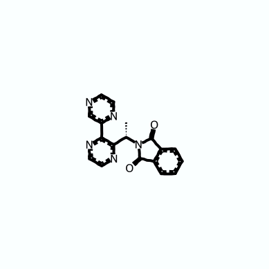 C[C@@H](c1nccnc1-c1cnccn1)N1C(=O)c2ccccc2C1=O